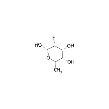 C[C@@H]1O[C@H](O)[C@H](F)[C@H](O)[C@@H]1O